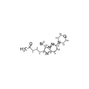 CC(=O)CCCc1nc2ccc(N3CCOCC3)nn2c1Br